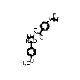 COc1ccc(-c2nnc(NC(=O)c3ccc(SC(F)(F)F)cc3)o2)cc1